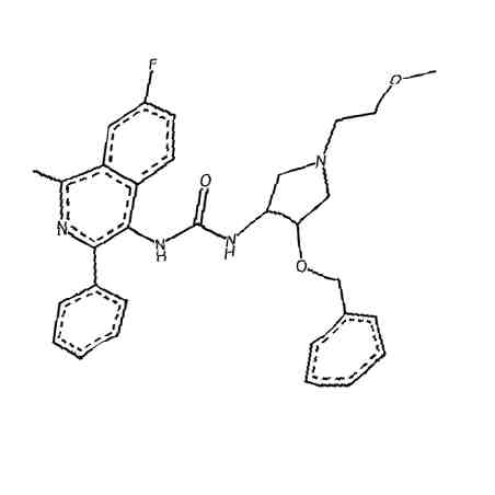 COCCN1CC(NC(=O)Nc2c(-c3ccccc3)nc(C)c3cc(F)ccc23)C(OCc2ccccc2)C1